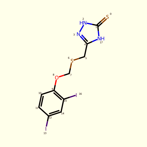 S=c1[nH]nc(CSCOc2ccc(I)cc2I)[nH]1